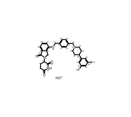 Cl.O=C1CCC(N2Cc3c(OCc4ccc(CN5CCC(c6cc(F)cc(F)c6)CC5)cc4)cccc3C2=O)C(=O)N1